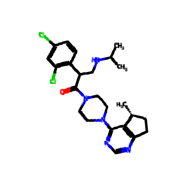 CC(C)NCC(C(=O)N1CCN(c2ncnc3c2[C@H](C)CC3)CC1)c1ccc(Cl)cc1Cl